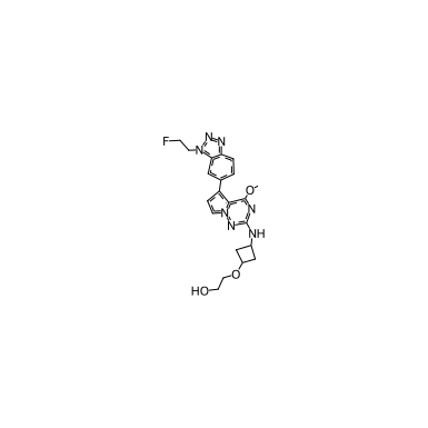 COc1nc(NC2CC(OCCO)C2)nn2ccc(-c3ccc4nnn(CCF)c4c3)c12